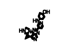 OC1CCC(Nc2cc(-c3nc(N4CCNCC4)c4c(C5CC5)cncc4n3)ccn2)CC1